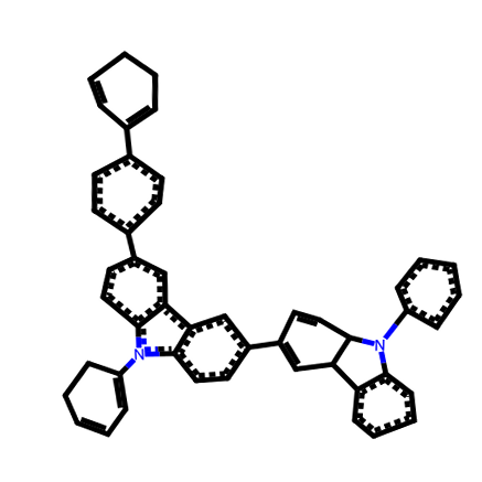 C1=CCCC(n2c3ccc(C4=CC5c6ccccc6N(c6ccccc6)C5C=C4)cc3c3cc(-c4ccc(C5=CCCC=C5)cc4)ccc32)=C1